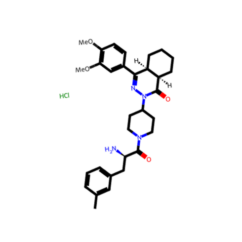 COc1ccc(C2=NN(C3CCN(C(=O)[C@H](N)Cc4cccc(C)c4)CC3)C(=O)[C@@H]3CCCC[C@H]23)cc1OC.Cl